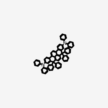 c1ccc(N(c2ccccc2)c2ccc3c(c2)C(c2ccccc2)(c2ccccc2)c2ccc4c5c(ccc-3c25)-c2ccc(N(c3ccccc3)c3ccccc3)cc2C4(c2ccccc2)c2ccccc2)cc1